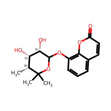 C[C@@H]1[C@H](O)[C@H](O)C(Oc2cccc3ccc(=O)oc23)OC1(C)C